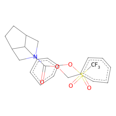 O=C(OCc1ccccc1)N1CC2CCC(C1)C2c1cccc(OS(=O)(=O)C(F)(F)F)c1